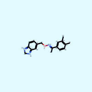 C/C(=N\OCc1ccc2c(c1)=NCN=2)c1ccc(C)c(C)c1